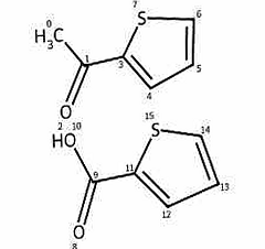 CC(=O)c1cccs1.O=C(O)c1cccs1